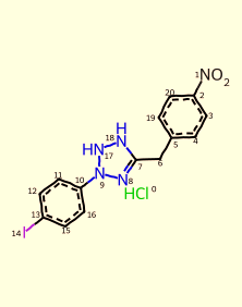 Cl.O=[N+]([O-])c1ccc(CC2=NN(c3ccc(I)cc3)NN2)cc1